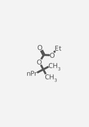 CCCC(C)(C)OC(=O)OCC